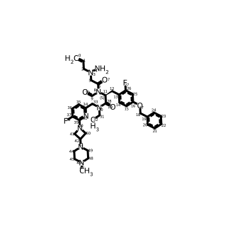 C=CCN(N)CC(=O)N(C=O)[C@@H](Cc1ccc(OCc2ccccc2)cc1F)C(=O)N(CC)Cc1ccc(F)c(N2CC(N3CCN(C)CC3)C2)n1